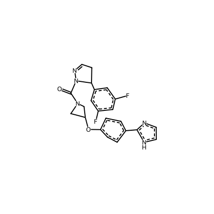 O=C(N1CC(Oc2ccc(-c3ncc[nH]3)cc2)C1)N1N=CCC1c1cc(F)cc(F)c1